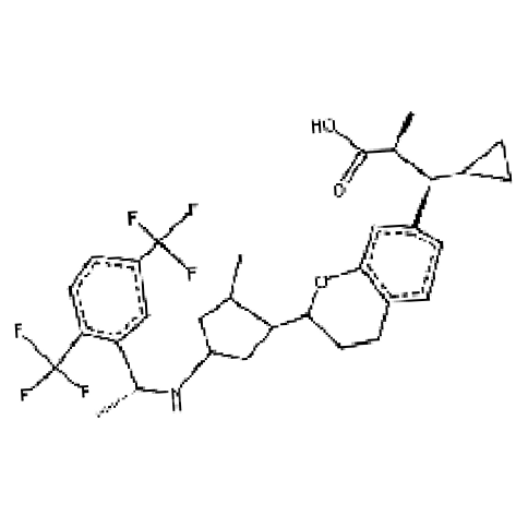 CC1CC(N[C@H](C)c2cc(C(F)(F)F)ccc2C(F)(F)F)CC1C1CCc2ccc([C@H](C3CC3)[C@H](C)C(=O)O)cc2O1